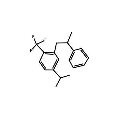 CC(C)c1ccc(C(F)(F)F)c(CC(C)c2ccccc2)c1